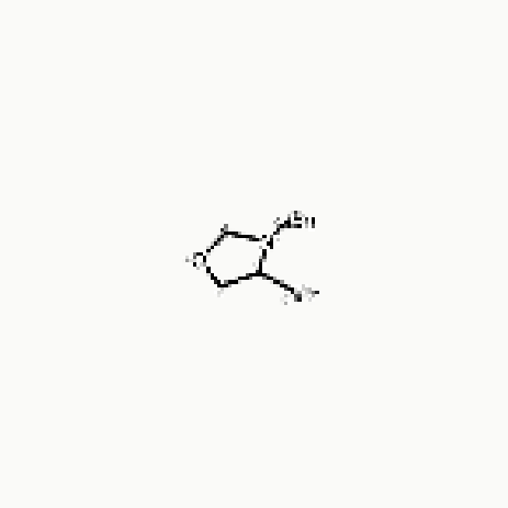 CCC(C)N1COCC1C(C)C